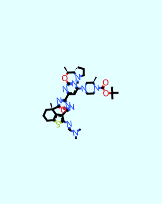 C[C@H](Oc1nc(-c2noc([C@@]3(C)CCCc4sc(/N=C/N(C)C)c(C#N)c43)n2)cc(N2CCN(C(=O)OC(C)(C)C)[C@H](C)C2)n1)[C@@H]1CCCN1C